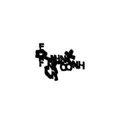 CNC(=O)C(NC(=O)c1nc(-c2cc(F)ccc2F)n2c1CN(C)CCC2)C(C)(C)C